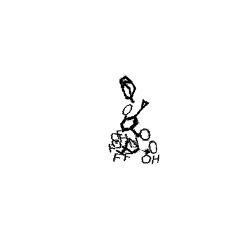 COC1(C(F)(F)F)C[C@@H](C(=O)O)N(C(=O)c2cc(C3CC3)c(OCC34CC5CC(C3)C(C5)C4)cc2F)C1